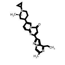 CCc1nc(C)cn2nc(-c3cc(=O)n4cc(C5CCN(C6CC6)[C@H](C)C5)ccc4n3)cc12